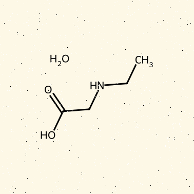 CCNCC(=O)O.O